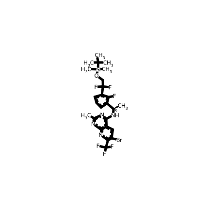 Cc1nc(N[C@H](C)c2cccc(C(F)(F)CO[Si](C)(C)C(C)(C)C)c2F)c2cc(Br)c(C(F)(F)F)nc2n1